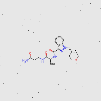 CC(C)(C)[C@H](NC(=O)c1nn(CC2CCOCC2)c2ccccc12)C(=O)NCCC(N)=O